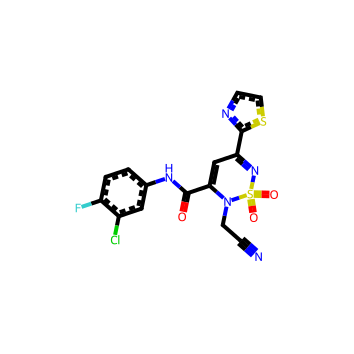 N#CCN1C(C(=O)Nc2ccc(F)c(Cl)c2)=CC(c2nccs2)=NS1(=O)=O